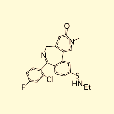 CCNSc1ccc2c(c1)-c1cn(C)c(=O)cc1CN=C2c1ccc(F)cc1Cl